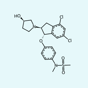 CN(c1ccc(O[C@H]2c3cc(Cl)cc(Cl)c3C[C@@H]2N2CC[C@@H](O)C2)cc1)S(C)(=O)=O